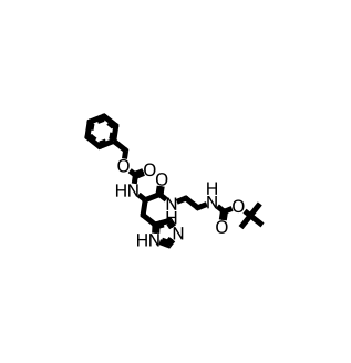 CC(C)(C)OC(=O)NCCNC(=O)C(Cc1cnc[nH]1)NC(=O)OCc1ccccc1